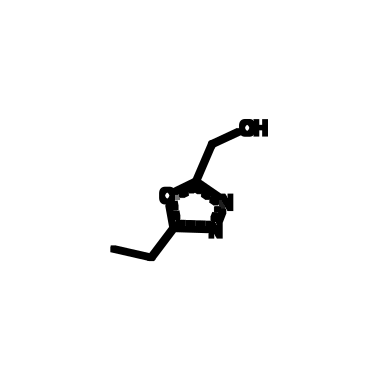 CCc1nnc(CO)o1